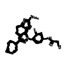 CC(=O)Nc1nc2c(s1)-c1c(c(-c3cccnc3)nn1-c1ccc(NC(=O)CCl)cc1F)CC2